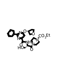 CCOC(=O)N1CCN(C(=O)[C@H](CO)NC(=O)c2cc(O[C@@H]3CCOC3)nc(-c3ccccc3)n2)CC1